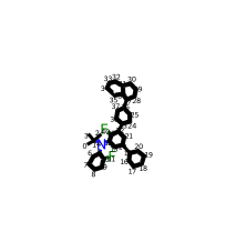 CC(C)(C)N(c1ccccc1F)c1cc(-c2ccccc2)cc(-c2ccc(-c3cccc4ccccc34)cc2)c1F